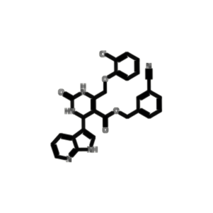 N#Cc1cccc(COC(=O)C2=C(COc3ccccc3Cl)NC(=O)NC2c2c[nH]c3ncccc23)c1